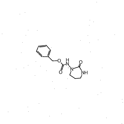 O=C(NN1CCCNC1=O)OCc1ccccc1